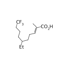 CCC(CCC=C(C)C(=O)O)CCCC(F)(F)F